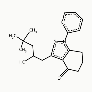 CC(Cc1nn(-c2ccccn2)c2c1C(=O)CCC2)CC(C)(C)C